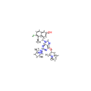 C#Cc1c(F)ccc2cc(O)cc(Cn3cnc4c(OCCC5(N(C)C)CC5)nc(N5C[C@H]6CC[C@@H](C5)N6)nc43)c12